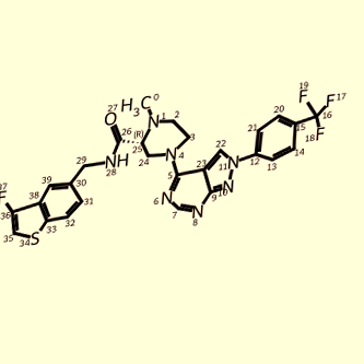 CN1CCN(c2ncnc3nn(-c4ccc(C(F)(F)F)cc4)cc23)C[C@@H]1C(=O)NCc1ccc2scc(F)c2c1